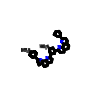 O=S(=O)(O)c1ccc(-c2ccc3ccc4ccc(-c5cc(-c6ccc7ccc8ccc(-c9ccccc9)nc8c7n6)cc(S(=O)(=O)O)c5)nc4c3n2)cc1